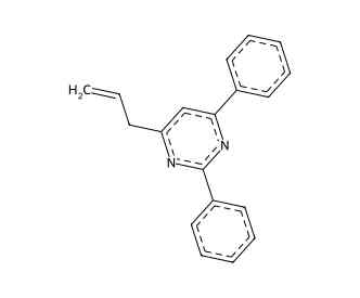 C=CCc1cc(-c2ccccc2)nc(-c2ccccc2)n1